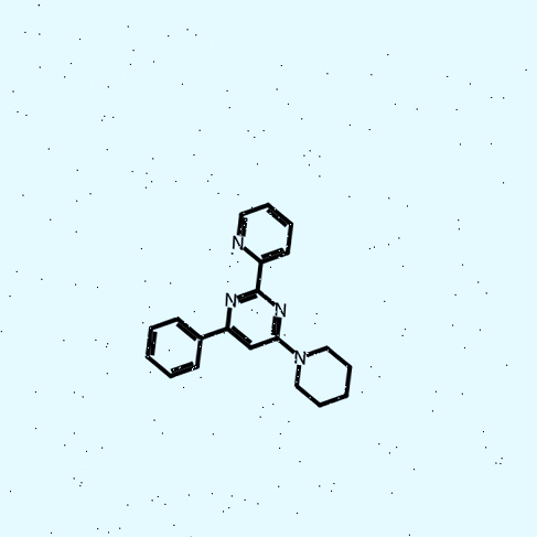 c1ccc(-c2cc(N3CCCCC3)nc(-c3ccccn3)n2)cc1